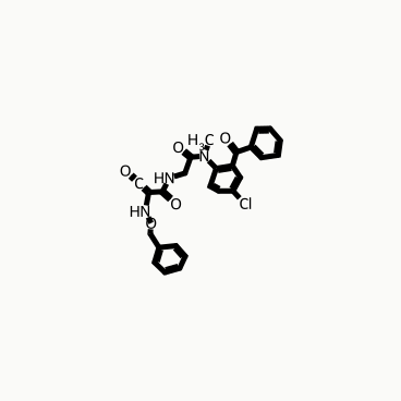 CN(C(=O)CNC(=O)C(=C=O)NOCc1ccccc1)c1ccc(Cl)cc1C(=O)c1ccccc1